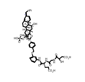 CCC/C=C1\C=C[C@@]2(C)C(=C1)CC[C@H]1[C@@H]3C[C@H]4O[C@@H](c5ccc(CSc6cccc(NC(=O)[C@H](CCC(=O)O)NC(=O)CNC(=O)C(S)CC(=O)O)c6)cc5)O[C@@]4(C(=O)COP(=O)(O)O)[C@@]3(C)C[C@H](O)[C@@]12F